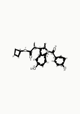 Cc1c([C@H](C)C(=O)OC2CCC2)c2cc(O)ccc2n1C(=O)c1ccc(Cl)cc1